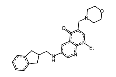 CCn1cc(CN2CCOCC2)c(=O)c2cc(NCC3Cc4ccccc4C3)cnc21